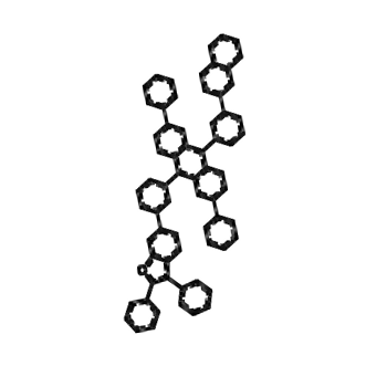 c1ccc(-c2ccc3c(-c4cccc(-c5ccc6c(-c7ccccc7)c(-c7ccccc7)oc6c5)c4)c4cc(-c5ccccc5)ccc4c(-c4cccc(-c5ccc6ccccc6c5)c4)c3c2)cc1